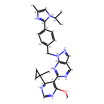 COc1ncnc(C2(C)CC2)c1-c1ncc2cnn(Cc3ccc(-c4nc(C)cn4C(C)C)cc3)c2n1